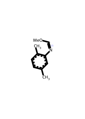 CO/[C]=N\c1cc(C)ccc1C